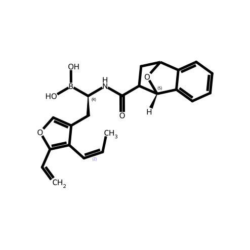 C=Cc1occ(C[C@H](NC(=O)C2CC3O[C@@H]2c2ccccc23)B(O)O)c1/C=C\C